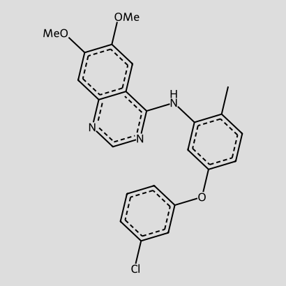 COc1cc2ncnc(Nc3cc(Oc4cccc(Cl)c4)ccc3C)c2cc1OC